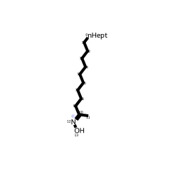 CCCCCCCCCCCCCCCC/C(C)=N/O